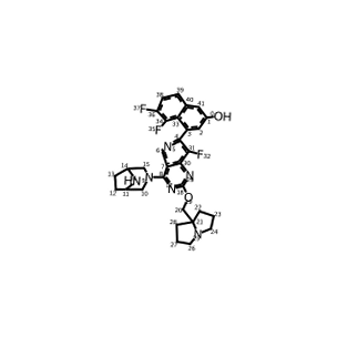 Oc1cc(-c2ncc3c(N4CC5CCC(C4)N5)nc(OCC45CCCN4CCC5)nc3c2F)c2c(F)c(F)ccc2c1